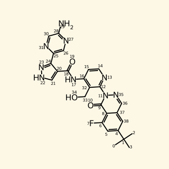 CC(C)(C)c1cc(F)c2c(=O)n(-c3nccc(NC(=O)c4c[nH]nc4-c4cnc(N)cn4)c3CO)ncc2c1